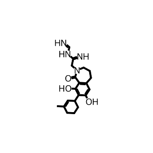 CC1=CC(c2c(O)cc3c(c2O)C(=O)N(CC(=N)NC=N)CCC3)CCC1